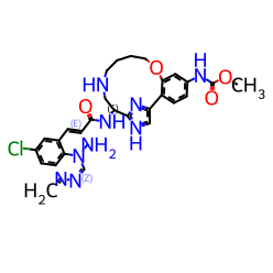 C=N/N=C\N(N)c1ccc(Cl)cc1/C=C/C(=O)N[C@H]1CNCCCCOc2cc(NC(=O)OC)ccc2-c2c[nH]c1n2